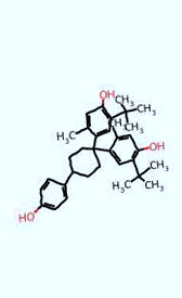 Cc1cc(O)c(C(C)(C)C)cc1C1(c2cc(C(C)(C)C)c(O)cc2C)CCC(c2ccc(O)cc2)CC1